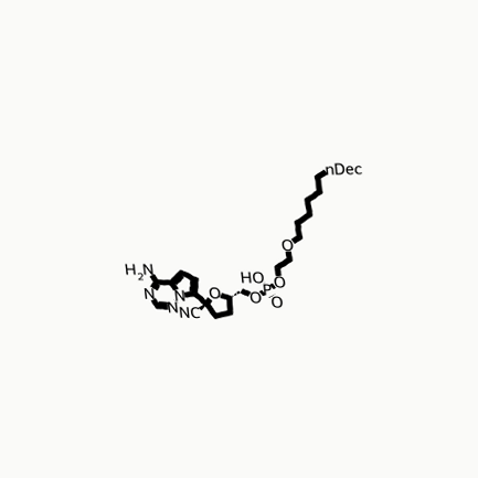 CCCCCCCCCCCCCCCCOCCOP(=O)(O)OC[C@@H]1CC[C@](C#N)(c2ccc3c(N)ncnn23)O1